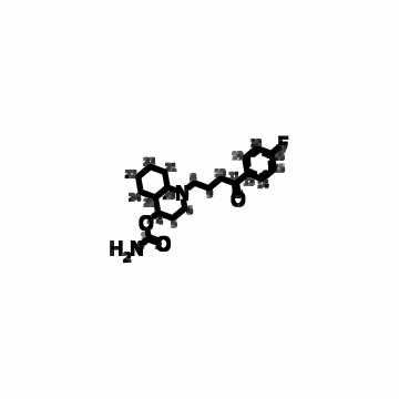 NC(=O)OC1CCN(CCCC(=O)c2ccc(F)cc2)C2CCCCC12